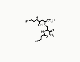 CC(C)CCNC(O)CC(SCC(NC(=O)CCC(C)C)C(N)=O)C(=O)O